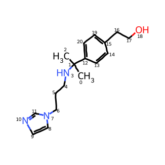 CC(C)(NCCCn1ccnc1)c1ccc(CCO)cc1